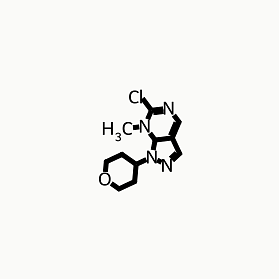 CN1C(Cl)=NC=C2C=NN(C3CCOCC3)C21